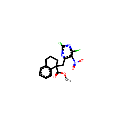 COC(=O)C1(Cc2nc(Cl)nc(Cl)c2[N+](=O)[O-])CCCc2ccccc21